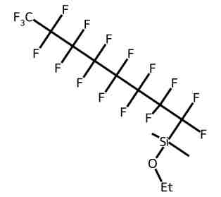 CCO[Si](C)(C)C(F)(F)C(F)(F)C(F)(F)C(F)(F)C(F)(F)C(F)(F)C(F)(F)C(F)(F)F